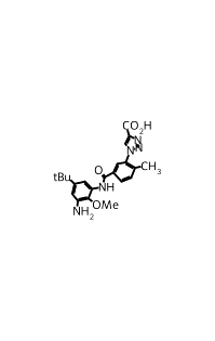 COc1c(N)cc(C(C)(C)C)cc1NC(=O)c1ccc(C)c(-n2cc(C(=O)O)nn2)c1